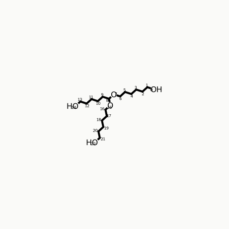 OCCCCCCOC(CCCCCO)OCCCCCCO